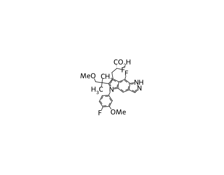 COCC(C)(C)c1c(C[C@@H](F)C(=O)O)c2c(F)c3[nH]ncc3cc2n1-c1ccc(F)c(OC)c1